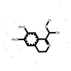 CCSC(C#N)C1=NCCc2cc(OC)c(OC)cc21